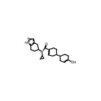 O=C(C1=CCC(C2CC=C(O)CC2)CC1)N(C1CC1)C1CCc2[nH]ncc2C1